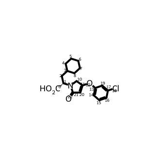 O=C(O)[C@H](CC1CCCCC1)N1CC(Oc2cccc(Cl)c2)=CC1=O